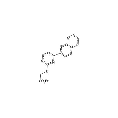 CCOC(=O)CSc1nccc(-c2ccc3ccccc3n2)n1